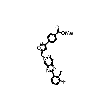 COC(=O)c1ccc(-c2cc(Cn3cc4nc(-c5cccc(F)c5F)nc-4cn3)on2)cc1